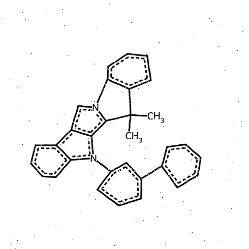 CC1(C)c2ccccc2-n2cc3c4ccccc4n(-c4cccc(-c5ccccc5)c4)c3c21